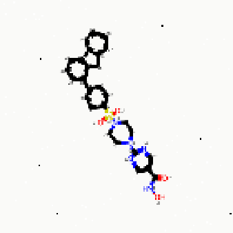 O=C(NO)c1cnc(N2CCN(S(=O)(=O)c3ccc(-c4cccc5c4Cc4ccccc4-5)cc3)CC2)nc1